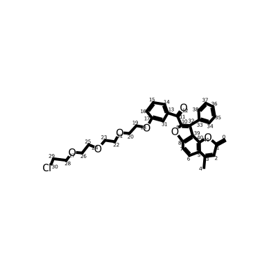 C=C1C=C(C)c2ccc3oc(C(=O)c4cccc(OCCOCCOCCOCCCl)c4)c(-c4ccccc4)c3c2O1